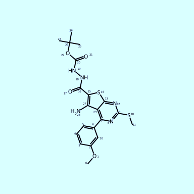 COc1cccc(-c2nc(SC)nc3sc(C(=O)NNC(=O)OC(C)(C)C)c(N)c23)c1